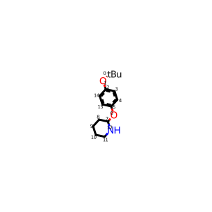 CC(C)(C)Oc1ccc(OC2CCCCN2)cc1